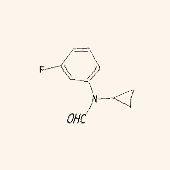 O=CN(c1cccc(F)c1)C1CC1